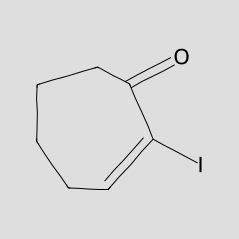 O=C1CCCCC=C1I